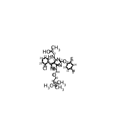 C[C@H](O)CNc1nc(Oc2ccc(F)cc2F)nc2c1c(-c1ccccc1Cl)nn2COCC[Si](C)(C)C